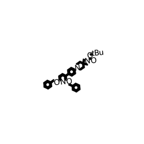 CC(C)(C)OC(=O)N1CC2(CCN(c3ccc(-c4ccc(OCc5ccccc5)nc4OCc4ccccc4)cc3)CC2)C1